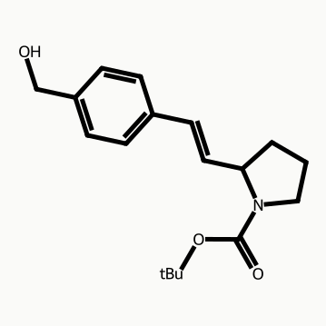 CC(C)(C)OC(=O)N1CCCC1C=Cc1ccc(CO)cc1